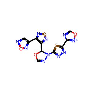 C1=NC(c2nnc(N3N=COC3c3nsnc3-c3cnon3)s2)=[N+]O1